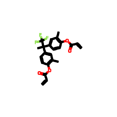 C=CC(=O)Oc1ccc(C(C)(c2ccc(OC(=O)C=C)c(C)c2)C(F)(F)F)cc1C